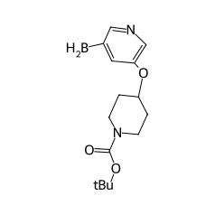 Bc1cncc(OC2CCN(C(=O)OC(C)(C)C)CC2)c1